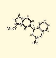 CCN1Cc2ccccc2C(c2ccc3scc(OC)c3c2)C1